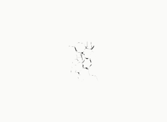 C=C1Oc2cc(CCC)c3c(c2[C@@H]2C=C(C)CC[C@@H]12)OCOC3=O